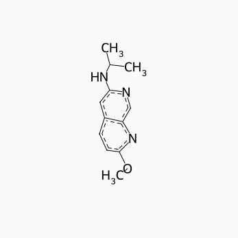 COc1ccc2cc(NC(C)C)ncc2n1